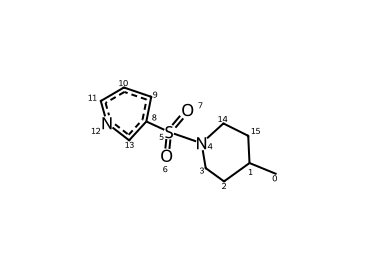 CC1CCN(S(=O)(=O)c2cccnc2)CC1